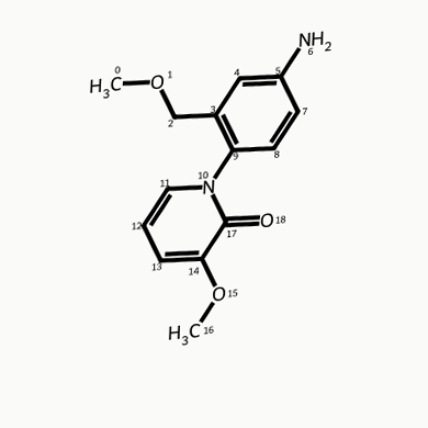 COCc1cc(N)ccc1-n1cccc(OC)c1=O